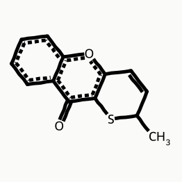 CC1C=Cc2oc3ccccc3c(=O)c2S1